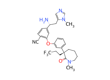 CN1CCCC[C@@](CCC(F)(F)F)(c2cccc(Oc3cc([C@H](N)Cc4cncn4C)ccc3C#N)c2)C1=O